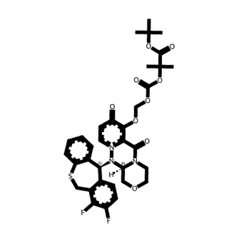 CC(C)(C)OC(=O)C(C)(C)OC(=O)OCOc1c2n(ccc1=O)N([C@@H]1c3ccccc3SCc3c1ccc(F)c3F)[C@@H]1COCCN1C2=O